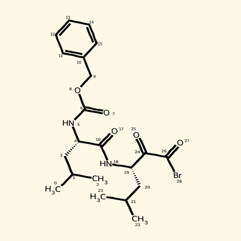 CC(C)C[C@H](NC(=O)OCc1ccccc1)C(=O)N[C@@H](CC(C)C)C(=O)C(=O)Br